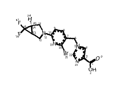 O=C(O)c1cn(Cc2ccc(N3CC4[C@H](C3)C4(F)F)nc2Br)cn1